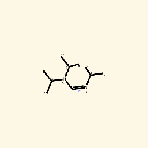 CC(C)/N=C\N(C(C)C)C(C)C